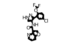 O=C(Nc1c[nH]nc1-c1cc(Cl)ccc1OC(F)F)c1coc2cccnc12